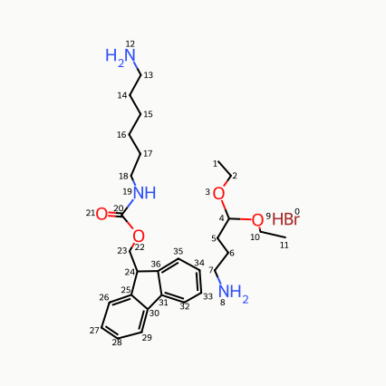 Br.CCOC(CCCN)OCC.NCCCCCCNC(=O)OCC1c2ccccc2-c2ccccc21